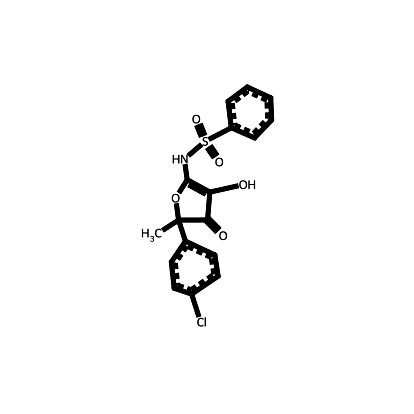 CC1(c2ccc(Cl)cc2)OC(NS(=O)(=O)c2ccccc2)=C(O)C1=O